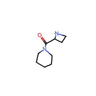 O=C(C1CC[N]1)N1CCCCC1